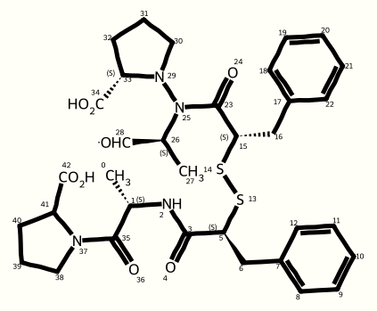 C[C@H](NC(=O)[C@H](Cc1ccccc1)SS[C@@H](Cc1ccccc1)C(=O)N([C@@H](C)[C]=O)N1CCC[C@H]1C(=O)O)C(=O)N1CCCC1C(=O)O